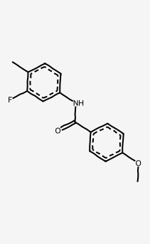 COc1ccc(C(=O)Nc2ccc(C)c(F)c2)cc1